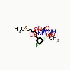 CSCCC(O)C(O)C(Cc1cc(F)cc(F)c1)NC(=O)c1coc(NS(C)(=O)=O)n1